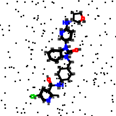 Cc1ncc(Cl)cc1C(=O)NC1CCC(Cn2c(=O)n(-c3ccc(N[C@@H]4CCOC4)nc3)c3ccccc32)CC1